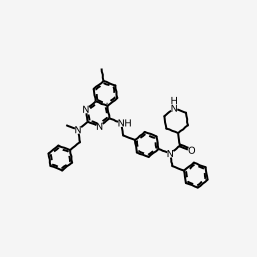 Cc1ccc2c(NCc3ccc(N(Cc4ccccc4)C(=O)C4CCNCC4)cc3)nc(N(C)Cc3ccccc3)nc2c1